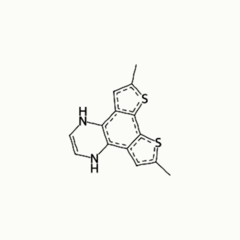 Cc1cc2c3c(c4cc(C)sc4c2s1)NC=CN3